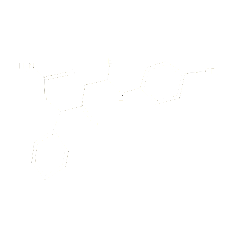 CCC(CC(=O)C(OC(N)=O)c1ccccc1)Nc1ccc(C(F)(F)F)cc1